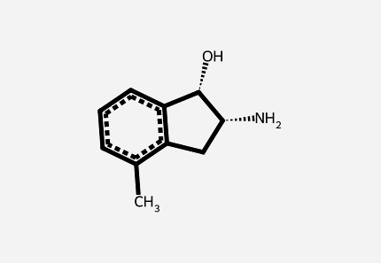 Cc1cccc2c1C[C@@H](N)[C@H]2O